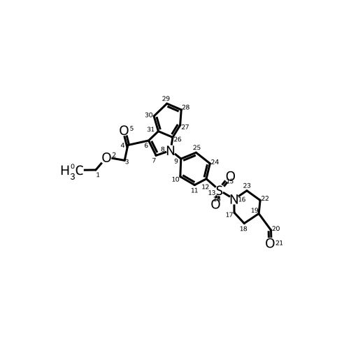 CCOCC(=O)c1cn(-c2ccc(S(=O)(=O)N3CCC(C=O)CC3)cc2)c2ccccc12